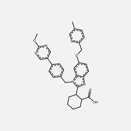 COc1ncc(-c2ccc(Cn3c(C4CCCCC4C(=O)O)nc4ccc(OCc5ccc(C)cn5)cc43)cc2)cn1